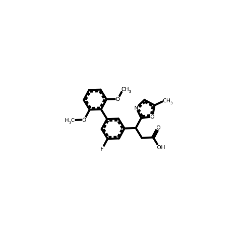 COc1cccc(OC)c1-c1cc(F)cc(C(CC(=O)O)c2ncc(C)o2)c1